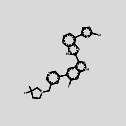 CC(=O)c1ccc(-c2ccnc3[nH]c(-c4n[nH]c5cc(F)c(-c6cncc(CN7CCC(F)(F)C7)c6)cc45)nc23)s1